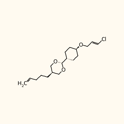 C=CCCC[C@H]1CO[C@H]([C@H]2CC[C@H](OC/C=C/Cl)CC2)OC1